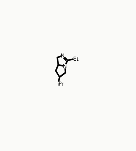 CCC1=NCC2CC(C(C)C)CN12